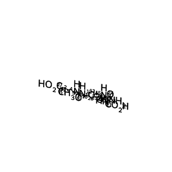 C[C@@H](CCCCNC(=O)NCc1ccc(CC(=O)NC(NC(=O)O)C(N)=O)cc1)C(=O)O